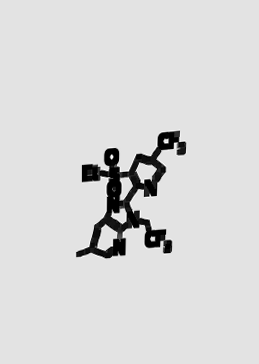 CCS(=O)(=O)c1cc(C(F)(F)F)cnc1-c1nc2cc(C)cnc2n1CC(F)(F)F